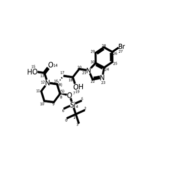 CC(C)(C)[Si](C)(C)O[C@H]1CCCN(C(=O)O)[C@@H]1CC(O)Cn1cnc2cc(Br)ccc21